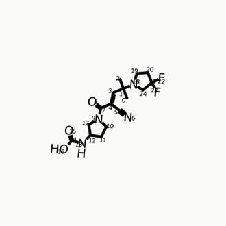 CC(C)(C=C(C#N)C(=O)N1CCC(NC(=O)O)C1)N1CCC(F)(F)C1